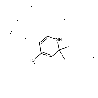 CC1(C)C=C(O)C=CN1